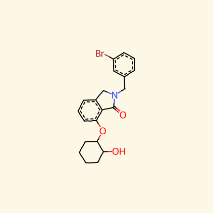 O=C1c2c(cccc2OC2CCCCC2O)CN1Cc1cccc(Br)c1